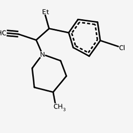 C#CC(C(CC)c1ccc(Cl)cc1)N1CCC(C)CC1